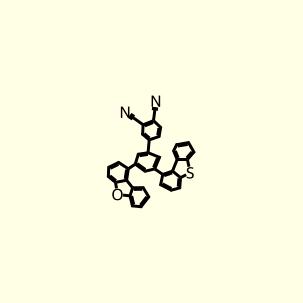 N#Cc1ccc(-c2cc(-c3cccc4oc5ccccc5c34)cc(-c3cccc4sc5ccccc5c34)c2)cc1C#N